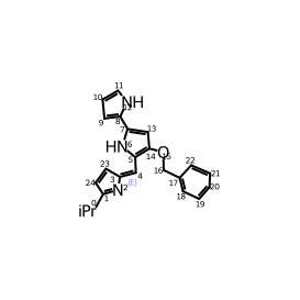 CC(C)C1=N/C(=C/c2[nH]c(-c3ccc[nH]3)cc2OCc2ccccc2)C=C1